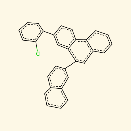 Clc1ccccc1-c1ccc2c(c1)c(-c1ccc3ccccc3c1)cc1ccccc12